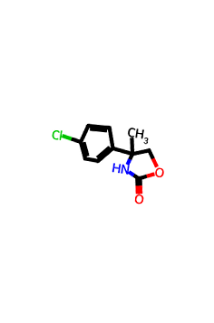 CC1(c2ccc(Cl)cc2)COC(=O)N1